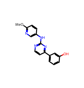 COc1ccc(Nc2nccc(-c3cccc(O)c3)n2)cn1